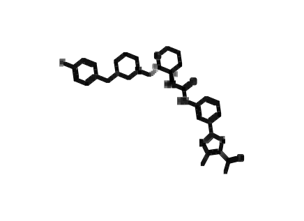 CC(=O)c1sc(-c2cccc(NC(=O)N[C@@H]3CCCO[C@H]3CN3CCCC(Cc4ccc(F)cc4)C3)c2)nc1C